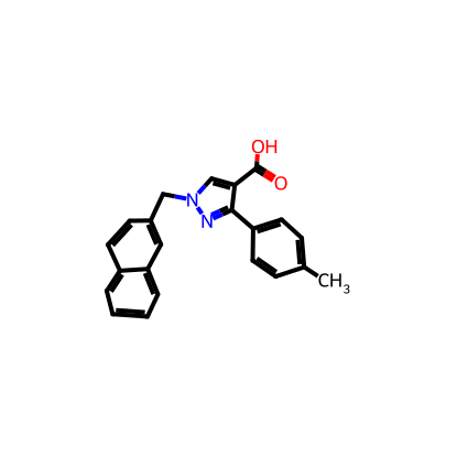 Cc1ccc(-c2nn(Cc3ccc4ccccc4c3)cc2C(=O)O)cc1